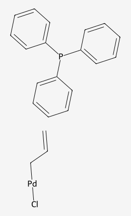 C=C[CH2][Pd][Cl].c1ccc(P(c2ccccc2)c2ccccc2)cc1